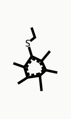 CCSc1c(C)c(C)c(C)c(C)c1C